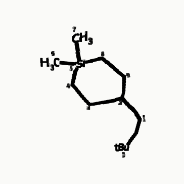 CC(C)(C)CC1CC[Si](C)(C)CC1